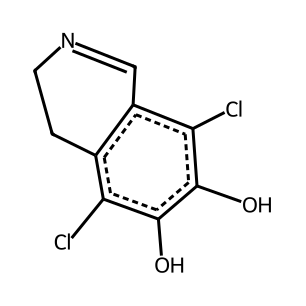 Oc1c(O)c(Cl)c2c(c1Cl)C=NCC2